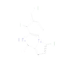 O=c1[nH]c2c(F)c(CCl)ccc2n2c(Cl)ccc12